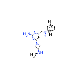 CNC1CN(c2cc(CN[C@@H]3C[C@@H]4CC[C@@H]3C4)nc(N)n2)C1